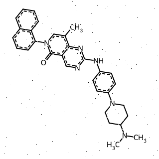 Cc1cn(-c2cccc3ccccc23)c(=O)c2cnc(Nc3ccc(N4CCC(N(C)C)CC4)cc3)nc12